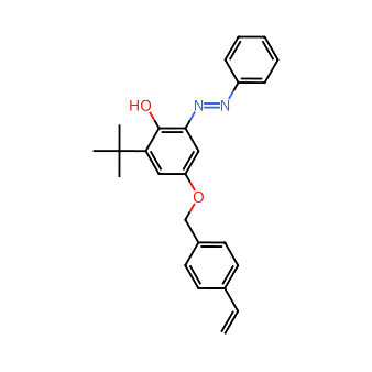 C=Cc1ccc(COc2cc(N=Nc3ccccc3)c(O)c(C(C)(C)C)c2)cc1